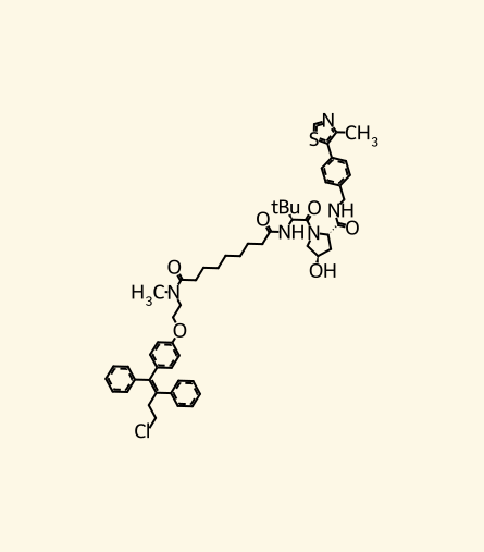 Cc1ncsc1-c1ccc(CNC(=O)[C@@H]2C[C@@H](O)CN2C(=O)[C@@H](NC(=O)CCCCCCCC(=O)N(C)CCOc2ccc(/C(=C(/CCCl)c3ccccc3)c3ccccc3)cc2)C(C)(C)C)cc1